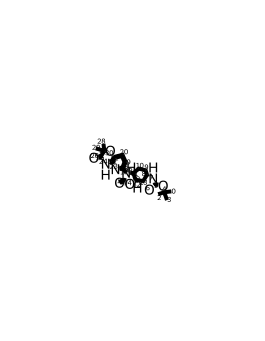 CC(C)(C)OC(=O)N[C@H]1CC[C@H]2[C@H](C1)OC(=O)N2c1ccc2c(n1)NC(=O)C(C)(C)O2